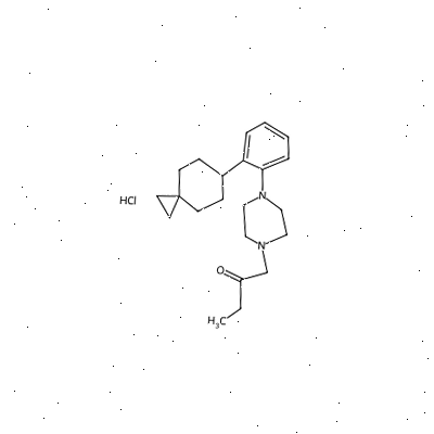 CCC(=O)CN1CCN(c2ccccc2C2CCC3(CC2)CC3)CC1.Cl